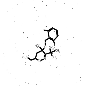 CCC1CC(C)(OCc2c(F)cccc2F)C(C(C)(C)C)=NO1